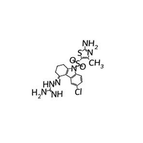 Cc1nc(N)sc1S(=O)(=O)n1c2c(c3cc(Cl)ccc31)C(=NNC(=N)N)CCC2